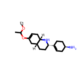 CCOC(C)OC1=CC[C@@H]2N[C@H](C3=CC[C@H](N)CC3)CC[C@@H]2C1